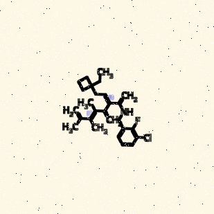 C=C(NCc1cccc(Cl)c1F)/C(=C/CC1(CC)CCC1)C(=C)/C(C)=C(\C)C(=C)C